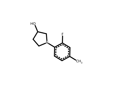 Cc1ccc(N2CCC(O)C2)c(F)c1